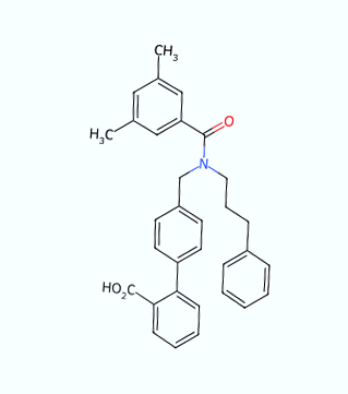 Cc1cc(C)cc(C(=O)N(CCCc2ccccc2)Cc2ccc(-c3ccccc3C(=O)O)cc2)c1